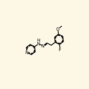 COc1ccc(F)c(CC=NNc2ccncc2)c1